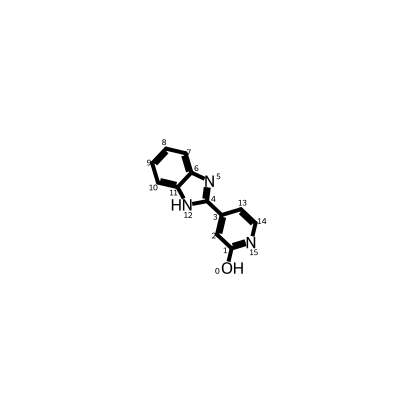 Oc1cc(-c2nc3c[c]ccc3[nH]2)ccn1